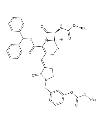 CC(C)(C)OC(=O)N[C@@H]1C(=O)N2C(C(=O)OC(c3ccccc3)c3ccccc3)=C(C=C3CCN(Cc4cccc(OC(=O)OC(C)(C)C)c4)C3=O)CS[C@H]12